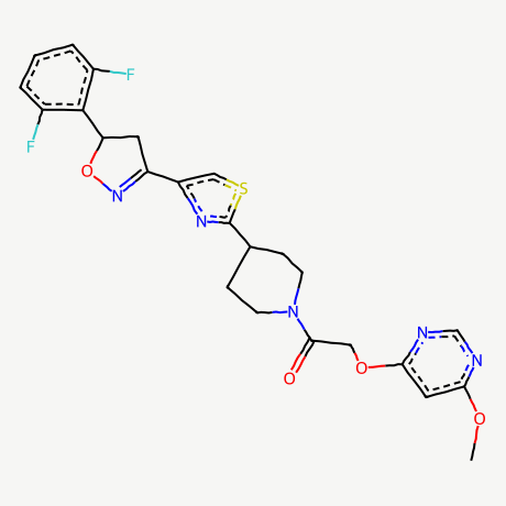 COc1cc(OCC(=O)N2CCC(c3nc(C4=NOC(c5c(F)cccc5F)C4)cs3)CC2)ncn1